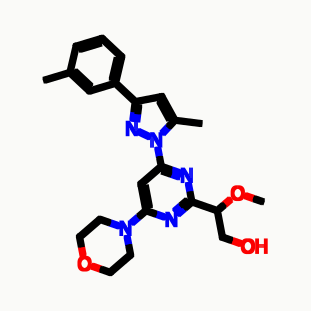 COC(CO)c1nc(N2CCOCC2)cc(-n2nc(-c3cccc(C)c3)cc2C)n1